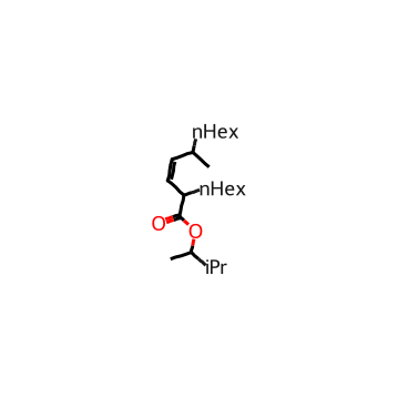 CCCCCCC(C)/C=C\C(CCCCCC)C(=O)OC(C)C(C)C